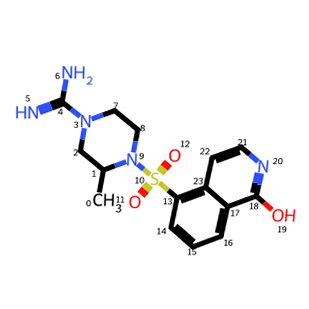 CC1CN(C(=N)N)CCN1S(=O)(=O)c1cccc2c(O)nccc12